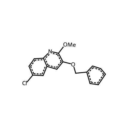 COc1nc2ccc(Cl)cc2cc1OCc1ccccc1